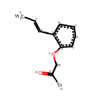 CC=Cc1ccccc1OCC(=O)CC